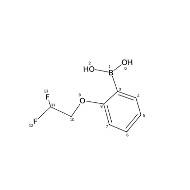 OB(O)c1ccccc1OCC(F)F